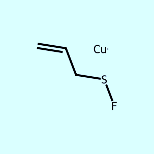 C=CCSF.[Cu]